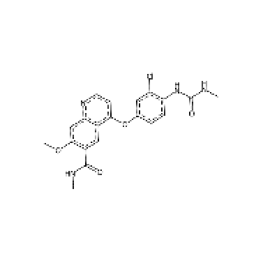 CNC(=O)Nc1ccc(Oc2ccnc3cc(OC)c(C(=O)NC)cc23)cc1Cl